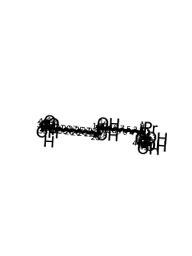 CC(C)C(C/C=C/C=C/C=C/C=C/C=C/C(O)C(C)C(O)C(C)/C=C/CC/C=C/C=C/C=C/C=C/C(=O)NC1=C(O)CCC1=O)OC1OC(C)C(O)C(O)C1O